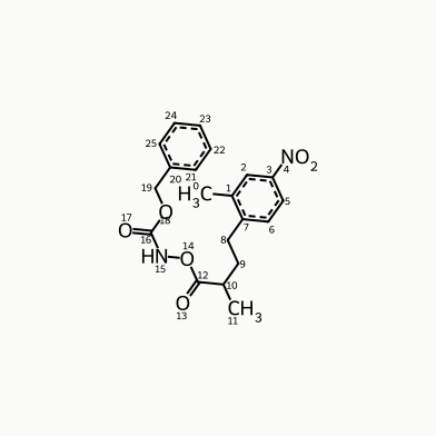 Cc1cc([N+](=O)[O-])ccc1CCC(C)C(=O)ONC(=O)OCc1ccccc1